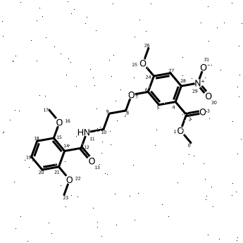 COC(=O)c1cc(OCCCNC(=O)c2c(OC)cccc2OC)c(OC)cc1[N+](=O)[O-]